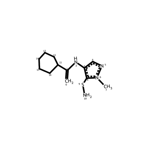 C=C(Nc1cnn(C)c1SN)C1CCCCC1